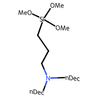 CCCCCCCCCCN(CCCCCCCCCC)CCC[Si](OC)(OC)OC